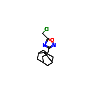 ClCc1nc(C23CC4CC(CC(C4)C2)C3)no1